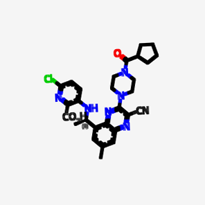 Cc1cc([C@@H](C)Nc2ccc(Cl)nc2C(=O)O)c2nc(N3CCN(C(=O)C4CCCC4)CC3)c(C#N)nc2c1